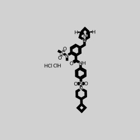 CN(c1ccc(CN2C[C@H]3C[C@@H](C2)N3)cc1C(=O)Nc1ccc(S(=O)(=O)N2CCC(C3CCC3)CC2)cc1)S(C)(=O)=O.Cl.Cl